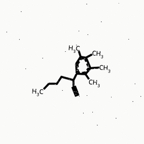 [C]#CC(CCCC)c1cc(C)c(C)c(C)c1C